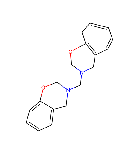 C1=CCC2=C(C=C1)CN(CN1COc3ccccc3C1)CO2